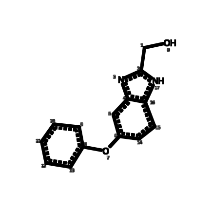 OCc1nc2cc(Oc3ccccc3)ccc2[nH]1